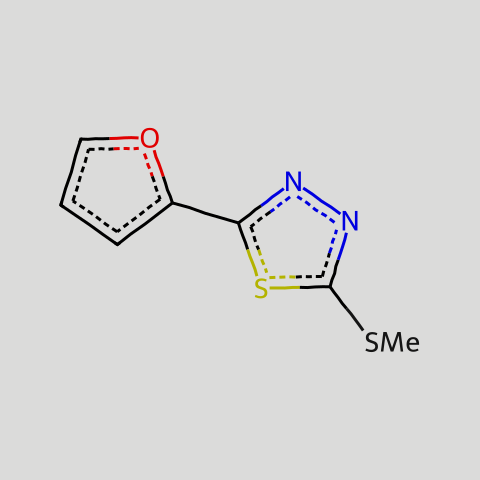 CSc1nnc(-c2ccco2)s1